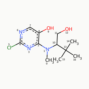 CN(c1nc(Cl)ncc1O)C(CO)C(C)(C)C